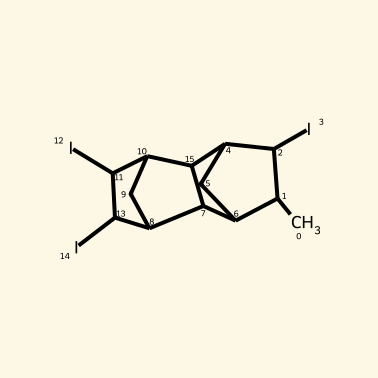 CC1C(I)C2CC1C1C3CC(C(I)C3I)C21